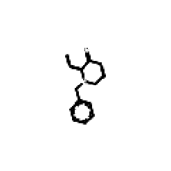 CCC1C(=O)CCCN1Cc1ccccc1